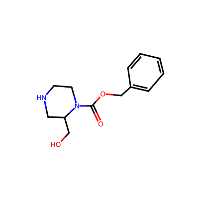 O=C(OCc1ccccc1)N1CCNCC1CO